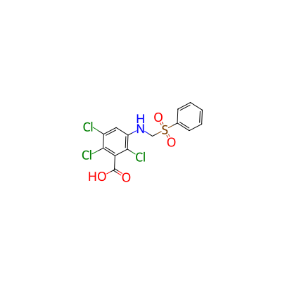 O=C(O)c1c(Cl)c(Cl)cc(NCS(=O)(=O)c2ccccc2)c1Cl